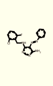 Nc1ncnc(NCc2c(F)cccc2Cl)c1N=Nc1ccccc1